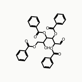 O=CC(OC(=O)c1ccccc1)C(OC(=O)c1ccccc1)C(OC(=O)c1ccccc1)C(O)COC(=O)c1ccccc1